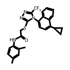 Cc1ccc(NC(=O)CSc2nnc(C(F)(F)F)n2-c2ccc(C3CC3)c3ccccc23)c(C)c1